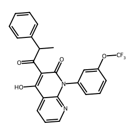 CC(C(=O)c1c(O)c2cccnc2n(-c2cccc(OC(F)(F)F)c2)c1=O)c1ccccc1